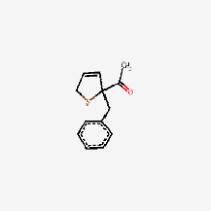 CC(=O)C1(Cc2ccccc2)C=CCS1